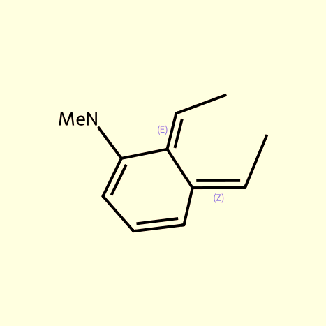 C/C=c1/cccc(NC)/c1=C/C